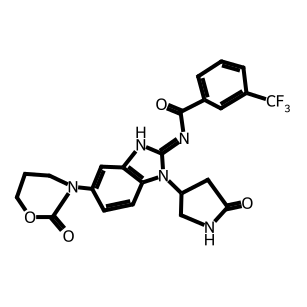 O=C1CC(n2c(=NC(=O)c3cccc(C(F)(F)F)c3)[nH]c3cc(N4CCCOC4=O)ccc32)CN1